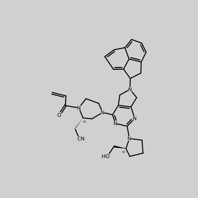 C=CC(=O)N1CCN(c2nc(N3CCC[C@H]3CO)nc3c2CN(C2Cc4cccc5cccc2c45)C3)C[C@@H]1CC#N